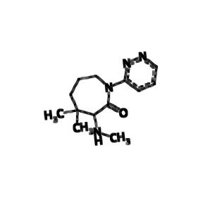 CNC1C(=O)N(c2cccnn2)CCCC1(C)C